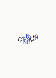 Cc1cc(-c2cnc(N3Cc4ccccc4C3=N)nc2C(C)C)on1